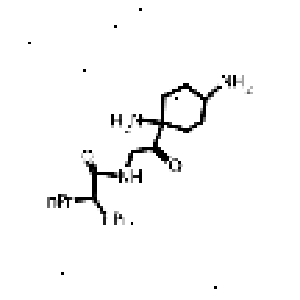 CCCC(CCC)C(=O)NCC(=O)C1(N)CCC(N)CC1